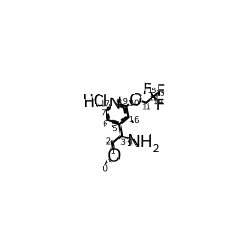 COC[C@H](N)c1ccnc(OCC(F)(F)F)c1.Cl